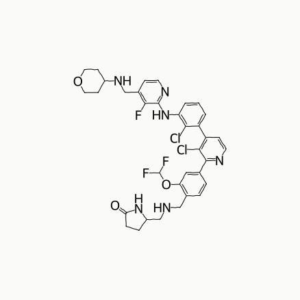 O=C1CCC(CNCc2ccc(-c3nccc(-c4cccc(Nc5nccc(CNC6CCOCC6)c5F)c4Cl)c3Cl)cc2OC(F)F)N1